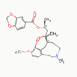 C=C[C@@]12CCN(C)Cc3ccc(OC)c(c31)OC2C[C@H](C)OC(=O)c1ccc2c(c1)OCO2